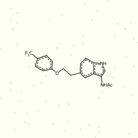 [13CH3]C(=O)Nc1c[nH]c2ccc(CCOc3ccc(C(F)(F)F)cc3)cc12